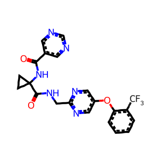 O=C(NC1(C(=O)NCc2ncc(Oc3ccccc3C(F)(F)F)cn2)CC1)c1cncnc1